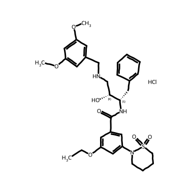 CCOc1cc(C(=O)N[C@@H](Cc2ccccc2)[C@H](O)CNCc2cc(OC)cc(OC)c2)cc(N2CCCCS2(=O)=O)c1.Cl